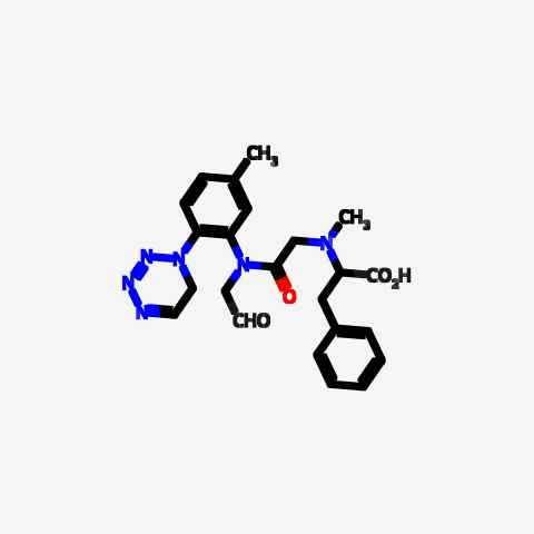 Cc1ccc(N2CC=NN=N2)c(N(CC=O)C(=O)CN(C)C(Cc2ccccc2)C(=O)O)c1